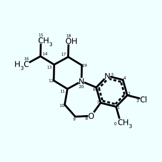 Cc1c(Cl)cnc2c1OCCC1CC(C(C)C)C(O)CN21